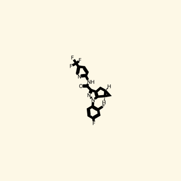 O=C(Nc1ccc(C(F)(F)F)cn1)c1nn(-c2ccc(F)cc2F)c2c1C[C@H]1C[C@@H]21